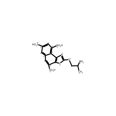 CC(N)COc1nc2c(s1)c(S(=O)(=O)O)cc1cc(S(=O)(=O)O)cc(S(=O)(=O)O)c12